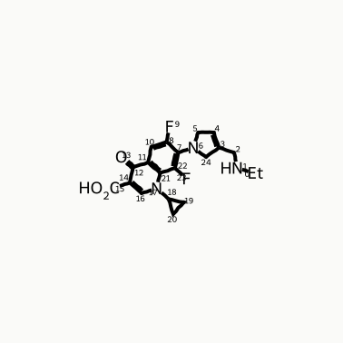 CCNCC1=CCN(c2c(F)cc3c(=O)c(C(=O)O)cn(C4CC4)c3c2F)C1